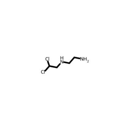 NCCNCC(Cl)Cl